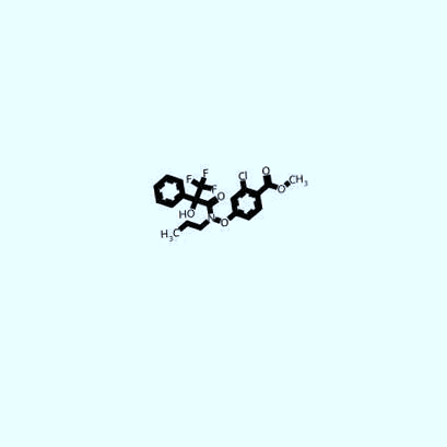 CCCN(Oc1ccc(C(=O)OC)c(Cl)c1)C(=O)C(O)(c1ccccc1)C(F)(F)F